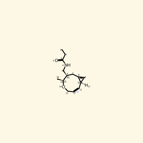 CCC(=O)NC[C@H]1CC2=C[C@H]2/C=C\CO[C@H]1C